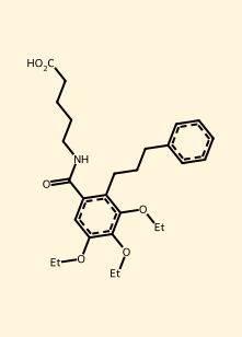 CCOc1cc(C(=O)NCCCCC(=O)O)c(CCCc2ccccc2)c(OCC)c1OCC